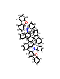 N#Cc1ccccc1N(c1cc2c(c3ccccc13)-c1c(cc(N(c3ccccc3C#N)c3cccc4c3oc3ccccc34)c3ccccc13)C2(c1ccccc1)c1ccccc1)c1cccc2c1oc1ccccc12